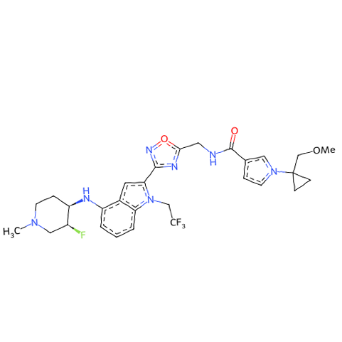 COCC1(n2ccc(C(=O)NCc3nc(-c4cc5c(N[C@@H]6CCN(C)C[C@@H]6F)cccc5n4CC(F)(F)F)no3)c2)CC1